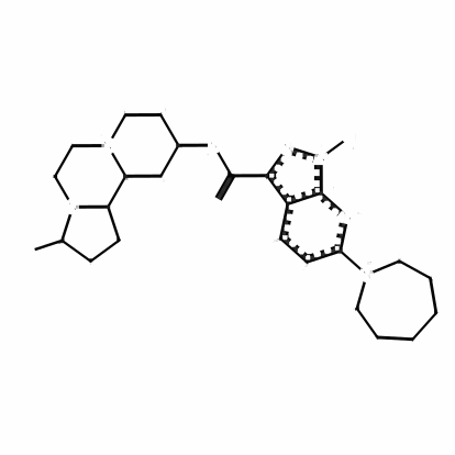 CC1CCC2C3CC(NC(=O)c4nn(C)c5nc(N6CCCCCC6)ccc45)CCN3CCN12